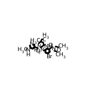 CCC1(C)CC(Nc2c(N)cc(Br)cc2C(=O)N2C[C@@H](C)O[C@@H](C)C2)CN(C(=O)c2cncc(NC)c2)C1